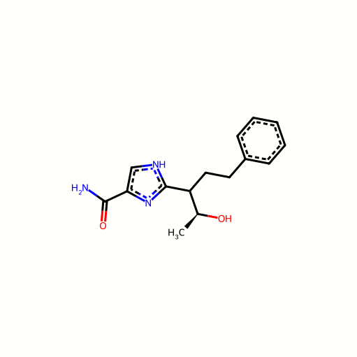 C[C@H](O)C(CCc1ccccc1)c1nc(C(N)=O)c[nH]1